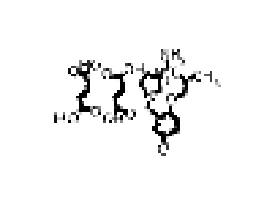 CC(C)COc1ccc(Cl)cc1CN1CC[C@@H](CN)C1.O=C(O)/C=C/C(=O)O.O=C(O)/C=C/C(=O)O